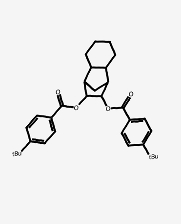 CC(C)(C)c1ccc(C(=O)OC2C3CC(C4CCCCC43)C2OC(=O)c2ccc(C(C)(C)C)cc2)cc1